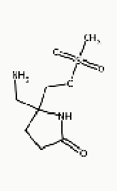 CS(=O)(=O)OCC1(CN)CCC(=O)N1